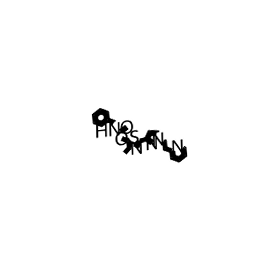 Cc1nc(-c2ccn(CCc3ccccn3)n2)sc1OC(=O)NCc1ccccc1